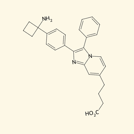 NC1(c2ccc(-c3nc4cc(CCCC(=O)O)ccn4c3-c3ccccc3)cc2)CCC1